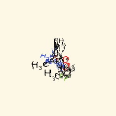 CCC[C@@H](NC(=O)N1C(=O)[C@H](Cc2cc(C)nc(N)c2)[C@H]1C(=O)N(C)c1cnn(C)c1)c1cccc(F)c1F